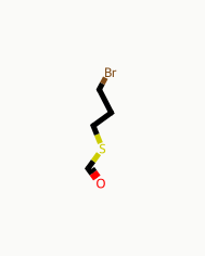 O=CSCCCBr